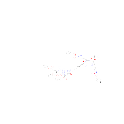 CC(C)(C)OC(=O)CC[C@H](NC(=O)N[C@@H](CCC(=O)NCCCCCCCC(=O)N[C@@H](CCCCNC(=O)OC(C)(C)C)C(=O)N[C@@H](CCCCNC(=O)OCc1ccccc1)C(=O)OC(C)(C)C)C(=O)OC(C)(C)C)C(=O)OC(C)(C)C